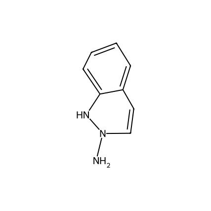 NN1C=Cc2ccccc2N1